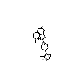 Cc1[nH]cnc1C1CCN(c2nc3cc(F)cc4c3n2C(C)CC4)CC1